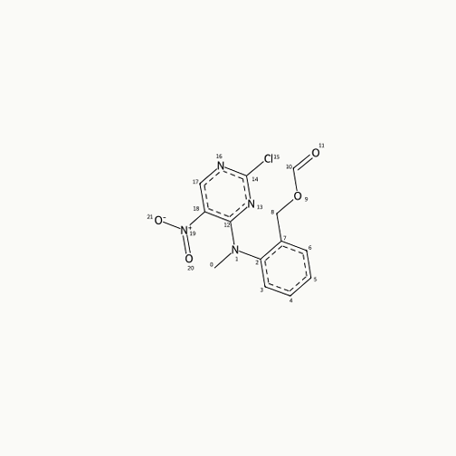 CN(c1ccccc1COC=O)c1nc(Cl)ncc1[N+](=O)[O-]